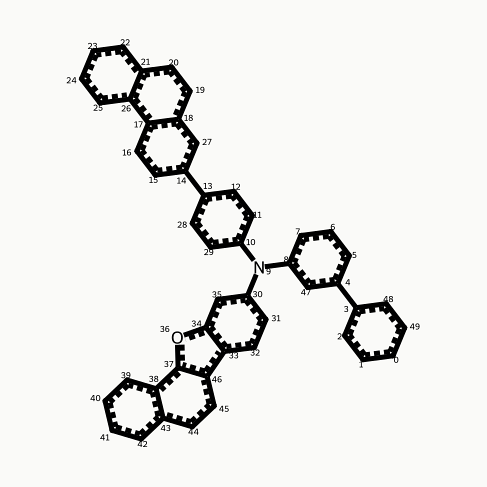 c1ccc(-c2cccc(N(c3ccc(-c4ccc5c(ccc6ccccc65)c4)cc3)c3ccc4c(c3)oc3c5ccccc5ccc43)c2)cc1